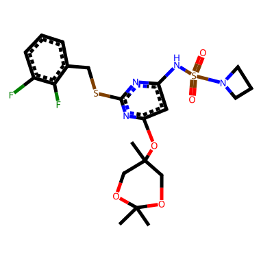 CC1(Oc2cc(NS(=O)(=O)N3CCC3)nc(SCc3cccc(F)c3F)n2)COC(C)(C)OC1